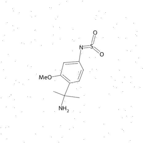 COc1cc(N=S(=O)=O)ccc1C(C)(C)N